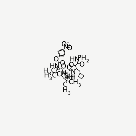 CC(C)(C)[C@H](NC(=O)Oc1ccc([N+](=O)[O-])cc1)C(=O)N1CC2[C@@H]([C@H]1C(=O)NC(CC1CCC1)C(=O)C(=O)NP)C2(C)C